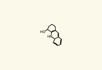 OC1CCCC2=C1NC1[C]=CC=CC1=C2